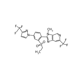 CCS(=O)(=O)c1cc(-n2ccc(C(F)(F)F)n2)ccc1-c1nc2cc(C(F)(F)F)ncc2n1C